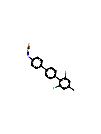 Cc1cc(F)c(-c2ccc(-c3ccc(N=C=S)cc3)cc2)c(F)c1